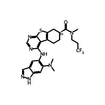 CN(CCC(F)(F)F)C(=O)[C@H]1CCc2c(sc3ncnc(Nc4cc5cn[nH]c5cc4N(C)C)c23)C1